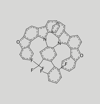 Fc1cccc(F)c1-c1cc(-n2c3ccccc3c3ccc4oc5ccccc5c4c32)c(-n2c3ccccc3c3ccc4oc5ccccc5c4c32)cc1C(F)(F)F